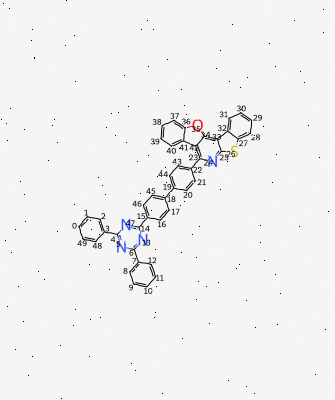 c1ccc(-c2nc(-c3ccccc3)nc(-c3ccc(-c4ccc(-c5nc6sc7ccccc7c6c6oc7ccccc7c56)cc4)cc3)n2)cc1